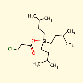 CC(C)CC[Si](CCC(C)C)(CCC(C)C)OC(=O)CCCl